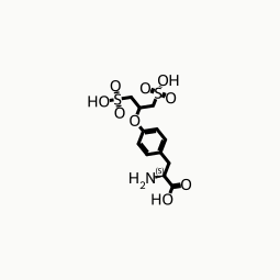 N[C@@H](Cc1ccc(OC(CS(=O)(=O)O)CS(=O)(=O)O)cc1)C(=O)O